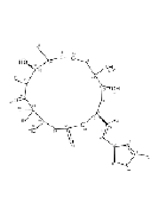 CC1=NC(/C=C(\C)[C@@H]2C[C@H](O)C(N)CCCC(C)[C@H](O)C(C)C(=O)C(C)(C)C(O)CC(=O)O2)CS1